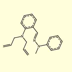 C=CCN(CC=C)c1ccccc1C=NN(C)c1ccccc1